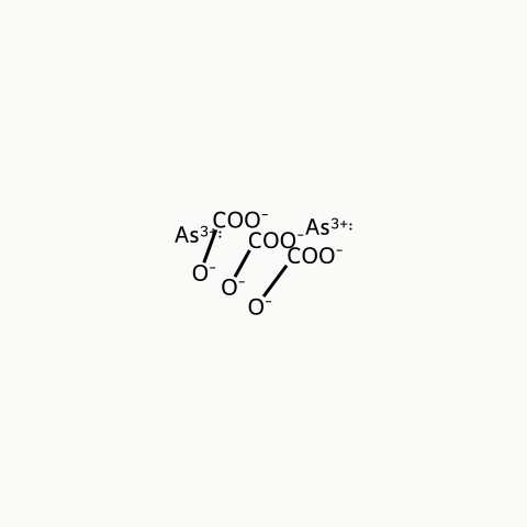 O=C([O-])[O-].O=C([O-])[O-].O=C([O-])[O-].[As+3].[As+3]